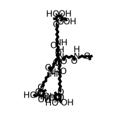 CC(C)OCCCNC(=O)CCCC(=O)NC(COCCC(=O)NCCCCCCO[C@@H]1OC(CO)[C@H](O)[C@H](O)C1C)(COCCC(=O)NCCCCCCO[C@@H]1OC(CO)[C@H](O)[C@H](O)C1C)COCCC(=O)NCCCCCCO[C@@H]1OC(CO)[C@H](O)[C@H](O)C1C